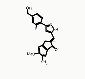 COc1cc2c(cc1C)C(=O)/C(=C/c1cc(-c3ccc(CO)cc3F)n[nH]1)C2